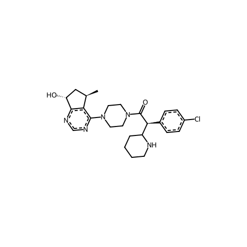 C[C@@H]1C[C@@H](O)c2ncnc(N3CCN(C(=O)[C@@H](c4ccc(Cl)cc4)C4CCCCN4)CC3)c21